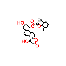 CC[C@H](Oc1c(C)cccc1C)C(=O)OC1CC(O)C=C2C=CC(C)C(CC[C@@H]3C[C@@H](O)CC(=O)O3)C21